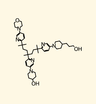 CC(C)(CCC(C)(CCC(C)(C)c1ccc(N2CCC(CCCO)CC2)cn1)c1ccc(N2CCC(O)CC2)cn1)c1ccc(N2CCOCC2)cn1